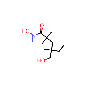 CCC(C)(CO)CC(C)(C)C(=O)NO